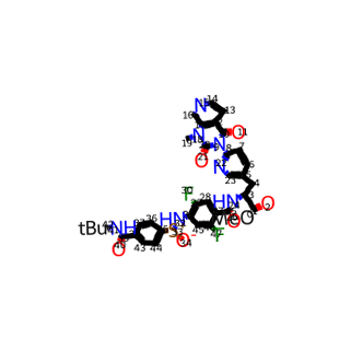 COC(=O)C(Cc1ccc(-n2c(=O)c3ccncc3n(C)c2=O)nc1)NC(=O)c1cc(F)c(N[S+]([O-])c2ccc(C(=O)NC(C)(C)C)cc2)cc1F